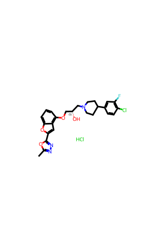 Cc1nnc(-c2cc3c(OC[C@@H](O)CN4CCC(c5ccc(Cl)c(F)c5)CC4)cccc3o2)o1.Cl